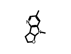 Cc1cnc2c(c1)N(C)C1OCCC21